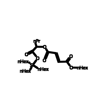 CCCCCCOC(=O)/C=C/C(=O)OC(CCC)C(=O)O[Si](CCCCCC)(CCCCCC)CCCCCC